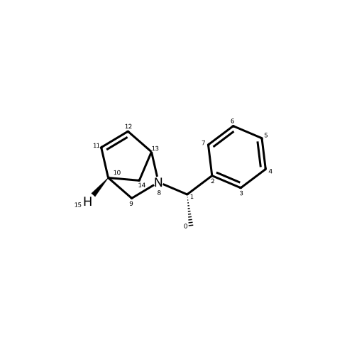 C[C@@H](c1ccccc1)N1C[C@@H]2C=CC1C2